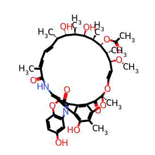 CO[C@H]1/C=C/O[C@@]2(C)Oc3c(C)c(O)c4c(=O)c(c5oc6ccc(O)cc6nc-5c4c3C2=O)NC(=O)/C(C)=C\C=C\[C@H](C)[C@H](O)[C@@H](C)[C@@H](O)[C@@H](C)[C@H](OC(C)=O)[C@@H]1C